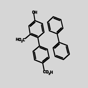 O=C(O)c1ccc(-c2ccc(O)cc2C(=O)O)cc1.c1ccc(-c2ccccc2)cc1